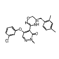 Cc1ccc(C[C@@H]2CON=C(c3c(Oc4cccc(Cl)c4)cnn(C)c3=O)N2)c(C)c1